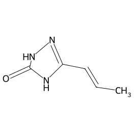 CC=Cc1n[nH]c(=O)[nH]1